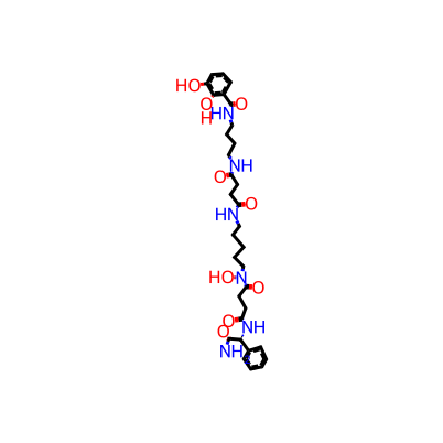 NC(=O)[C@H](NC(=O)CCC(=O)N(O)CCCCCNC(=O)CCC(=O)NCCCCNC(=O)c1cccc(O)c1O)c1ccccc1